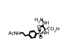 CC(=O)NCCc1ccc(S(=O)(=O)N[C@@H](C(=O)O)C(=O)NN)cc1